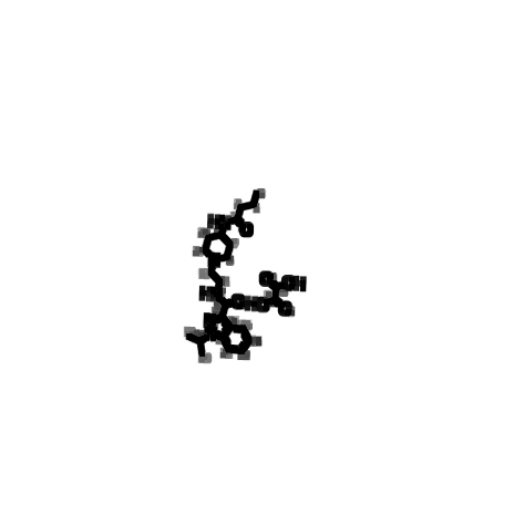 CCCC(=O)NC1CCN(CCNC(=O)c2nn(C(C)C)c3ccccc23)CC1.O=C(O)C(=O)O